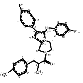 Cc1ccc(CC(C)C(=O)N2CCn3c(nc(-c4ccc(F)cc4)c3Nc3ccc(F)cc3)C2)cc1